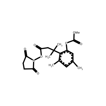 COC(=O)Oc1cc(C)cc(C)c1C(C)(C)CC(=O)ON1C(=O)CCC1=O